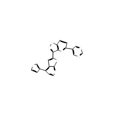 c1ncc(-c2ccc3[nH]nc(-c4cc5c(-c6ccoc6)ccnc5[nH]4)c3n2)cn1